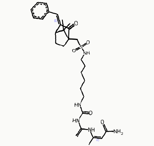 C=C(NC(=O)NCCCCCCNS(=O)(=O)CC12CCC(/C(=C\c3ccccc3)C1=O)C2(C)C)N/C(C)=C\C(N)=O